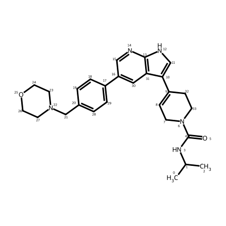 CC(C)NC(=O)N1CC=C(c2c[nH]c3ncc(-c4ccc(CN5CCOCC5)cc4)cc23)CC1